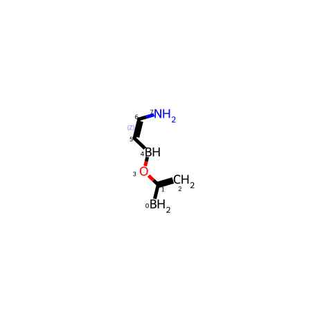 BC(=C)OB/C=C\N